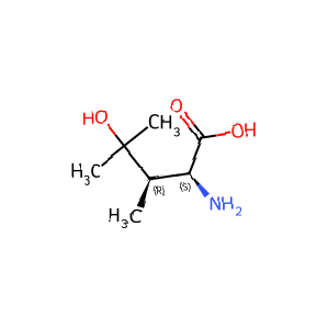 C[C@H]([C@H](N)C(=O)O)C(C)(C)O